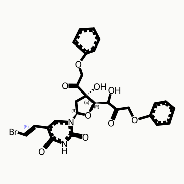 O=C(COc1ccccc1)C(O)[C@H]1O[C@@H](n2cc(/C=C/Br)c(=O)[nH]c2=O)C[C@@]1(O)C(=O)COc1ccccc1